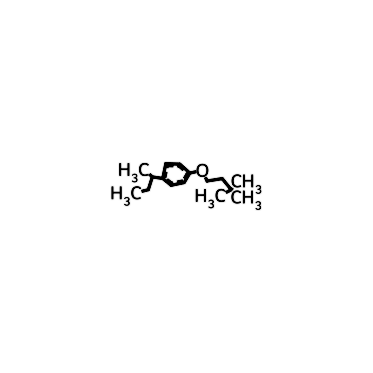 CCC(C)c1ccc(OCCC(C)(C)C)cc1